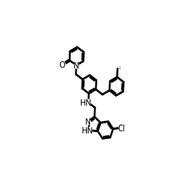 [CH]c1cccc(Cc2ccc(Cn3ccccc3=O)cc2NCc2n[nH]c3ccc(Cl)cc23)c1